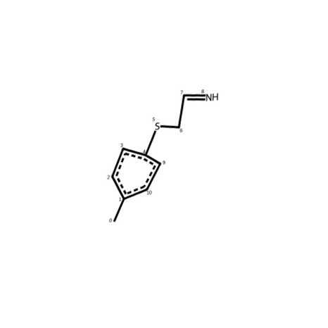 Cc1ccc(SCC=N)cc1